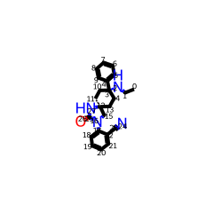 CCN[C@]1(c2ccccc2)CC[C@]2(CC1)CN(c1ccccc1C#N)C(=O)N2